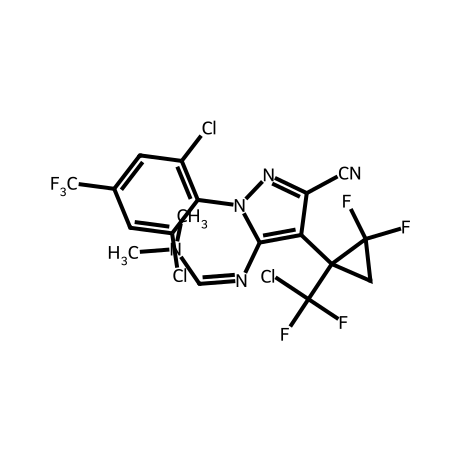 CN(C)/C=N\c1c(C2(C(F)(F)Cl)CC2(F)F)c(C#N)nn1-c1c(Cl)cc(C(F)(F)F)cc1Cl